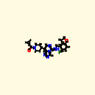 O=C(C1CC1)N1CCC(c2cnc(NCc3c(F)ccc4c3CCO4)n3cnnc23)CC1